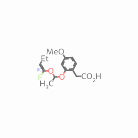 CC/C=C(/F)OC(C)Oc1cc(OC)ccc1CC(=O)O